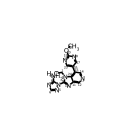 CCn1c(-n2ncnc2N)nc2cncc(-c3cnc(OC)nc3)c21